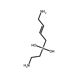 NCC=CC[Si](O)(O)CCN